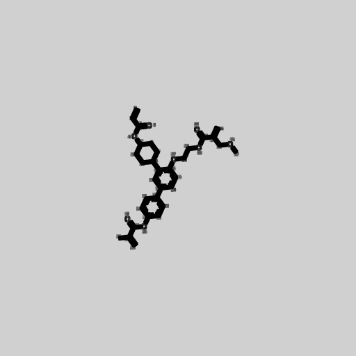 C=CC(=O)OC1CCC(c2cc(-c3ccc(OC(=O)C(=C)C)cc3)ccc2OCCOC(=O)C(=C)COC)CC1